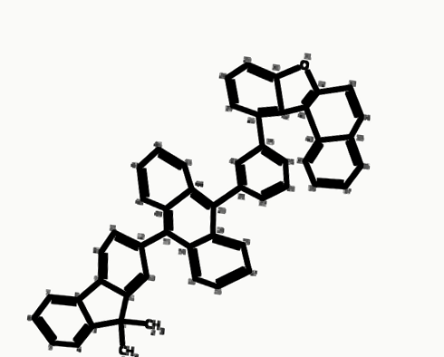 CC1(C)c2ccccc2-c2ccc(-c3c4ccccc4c(-c4cccc(-c5cccc6oc7ccc8ccccc8c7c56)c4)c4ccccc34)cc21